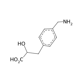 NCc1ccc(CC(O)C(=O)O)cc1